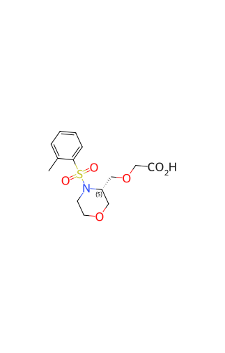 Cc1ccccc1S(=O)(=O)N1CCOC[C@H]1COCC(=O)O